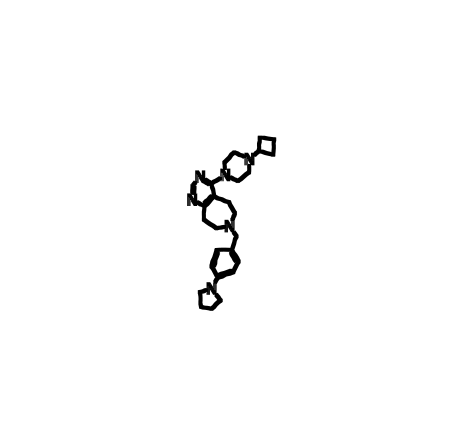 c1nc2c(c(N3CCN(C4CCC4)CC3)n1)CCN(Cc1ccc(N3CCCC3)cc1)CC2